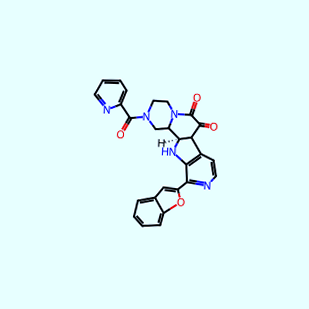 O=C1C(=O)N2CCN(C(=O)c3ccccn3)CC2[C@@H]2Nc3c(ccnc3-c3cc4ccccc4o3)C12